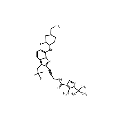 CCN1CC[C@@H](Nc2cccc3c(CC(F)(F)F)c(C#CCNC(=O)c4cnn(C(C)(C)C)c4N)nn23)[C@@H](F)C1